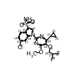 COc1nc(-n2cc(S(N)(=O)=O)c3ccc(Cl)cc32)nc(C2CC2)c1OCC(F)F